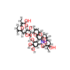 CCC(C(=O)[C@@H](C)[C@@H](O)[C@H](C)[C@@H]1O[C@@H]([C@@H](CC)C(=O)O)CC[C@@H]1C)[C@H]1O[C@]2(C=CC(NC(=O)c3cc(OC)c(OC)c(OC)c3)[C@]3(CC[C@@](C)([C@H]4CC[C@](O)(CC)[C@H](C)O4)O3)O2)[C@H](C)C[C@@H]1C